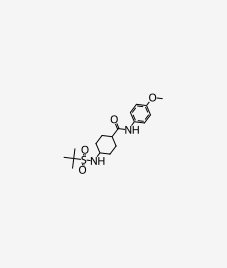 COc1ccc(NC(=O)C2CCC(NS(=O)(=O)C(C)(C)C)CC2)cc1